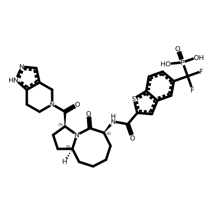 O=C(N[C@H]1CCCC[C@H]2CC[C@@H](C(=O)N3CCc4[nH]ncc4C3)N2C1=O)c1cc2cc(C(F)(F)P(=O)(O)O)ccc2s1